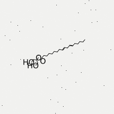 CCCCCC=CCC=CCCCCCCCC(=O)OC(CO)CO